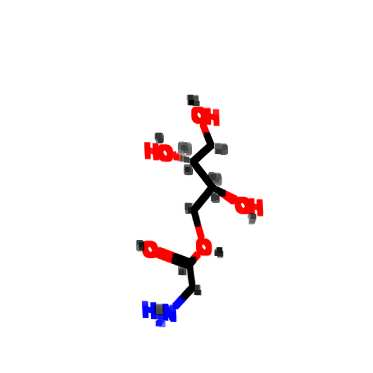 NCC(=O)OC[C@H](O)[C@H](O)CO